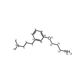 CN(C)CCCc1cccc(OCCCN)c1